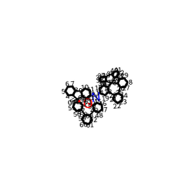 CC1(C)c2ccccc2-c2ccc(N(c3ccc4c(c3)-c3ccccc3-c3ccccc3C43c4ccccc4-c4ccccc43)c3cccc4c3Oc3ccccc3-c3ccccc3-4)cc21